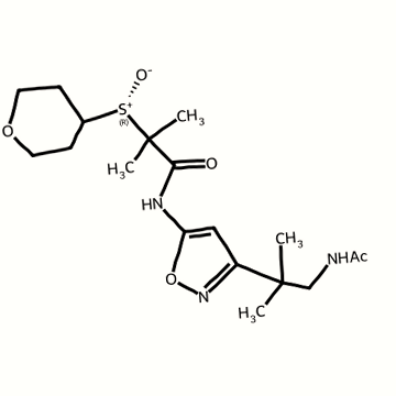 CC(=O)NCC(C)(C)c1cc(NC(=O)C(C)(C)[S@@+]([O-])C2CCOCC2)on1